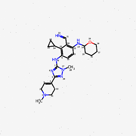 CN1CC=C(c2nc(Nc3ccc(NC4CCCCO4)c(C=N)c3C3CC3)n(C)n2)CC1